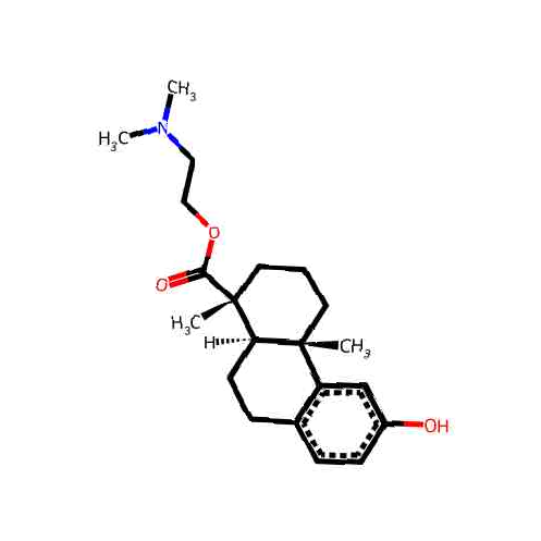 CN(C)CCOC(=O)[C@]1(C)CCC[C@]2(C)c3cc(O)ccc3CC[C@@H]12